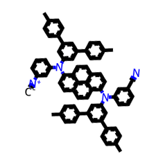 [C-]#[N+]c1cccc(N(c2cc(-c3ccc(C)cc3)cc(-c3ccc(C)cc3)c2)c2ccc3ccc4c(N(c5cccc(C#N)c5)c5cc(-c6ccc(C)cc6)cc(-c6ccc(C)cc6)c5)ccc5ccc2c3c54)c1